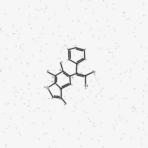 CC/C(Br)=C(/c1ccccc1)c1cc2c(C)coc2c(C)c1C